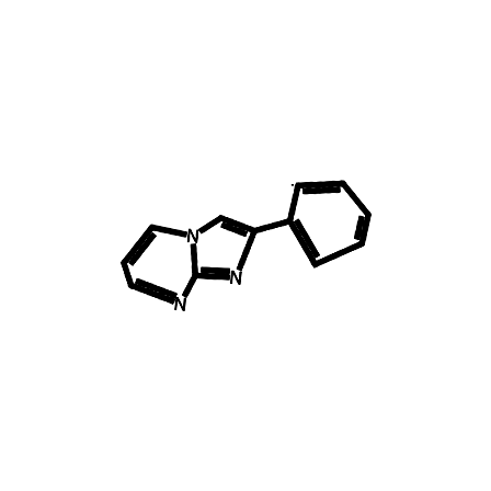 [c]1ccccc1-c1cn2cccnc2n1